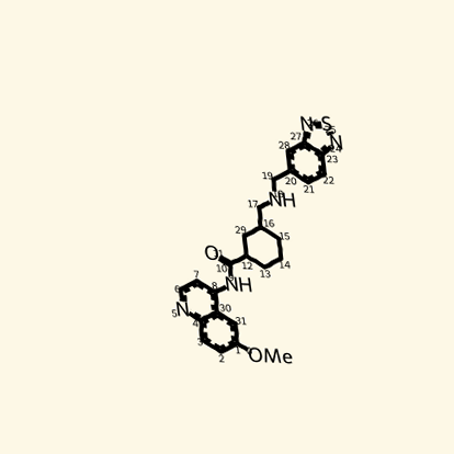 COc1ccc2nccc(NC(=O)C3CCCC(CNCc4ccc5nsnc5c4)C3)c2c1